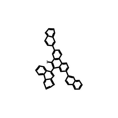 Ic1c(-c2cc3ccccc3c3ccccc23)c2cc(-c3ccc4ccccc4c3)ccc2c2ccc(-c3ccc4ccccc4c3)cc12